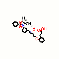 CC(C)N(c1cccc(/C=C/[C@H](O)CCOc2ccccc2CCC(=O)O)c1)S(=O)(=O)c1ccccc1